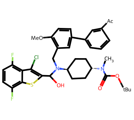 COc1ccc(-c2cccc(C(C)=O)c2)cc1CN(C(O)c1sc2c(F)ccc(F)c2c1Cl)[C@H]1CC[C@H](N(C)C(=O)OC(C)(C)C)CC1